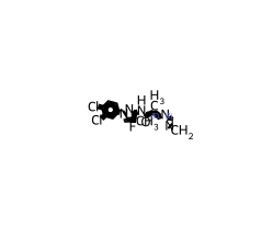 C=N/C=N\C=C(/C)C(=O)NC1=NN(c2ccc(Cl)c(Cl)c2)CC1(C)F